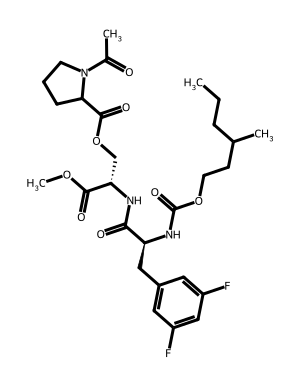 CCCC(C)CCOC(=O)N[C@@H](Cc1cc(F)cc(F)c1)C(=O)N[C@@H](COC(=O)C1CCCN1C(C)=O)C(=O)OC